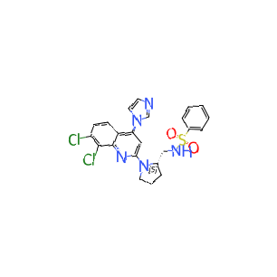 O=S(=O)(NC[C@@H]1CCCN1c1cc(-n2ccnc2)c2ccc(Cl)c(Cl)c2n1)c1ccccc1